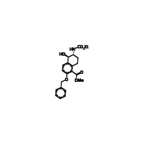 CCOC(=O)N[C@@H]1CCc2c(ccc(OCc3ccccc3)c2C(=O)OC)[C@H]1O